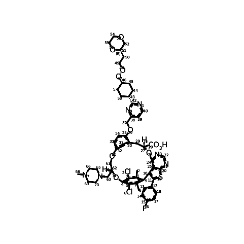 Cc1c(Cl)c2c(Cl)c(C)c1-c1c(-c3ccc(F)cc3)sc3ncnc(c13)O[C@@H](C(=O)O)Cc1cc(ccc1OCc1ccnc([C@H]3CC[C@H](OOCC[C@@H]4COCCO4)CC3)n1)OC[C@@H](CN1CCN(C)CC1)O2